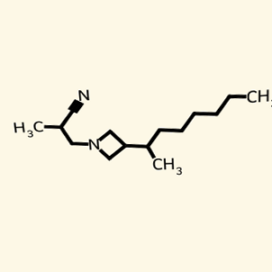 CCCCCCC(C)C1CN(CC(C)C#N)C1